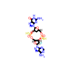 Nc1nc2c(nnn2[C@@H]2O[C@@H]3COP(=O)(S)O[C@H]4[C@H](F)[C@H](n5nnc6c(N)ncnc65)O[C@@H]4COP(=O)(S)O[C@H]2C3)c(=O)[nH]1